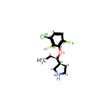 CC[C@@H](Oc1c(F)ccc(Cl)c1F)[C@H]1CCNC1